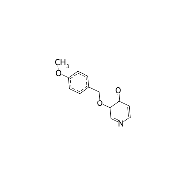 COc1ccc(COC2C=NC=CC2=O)cc1